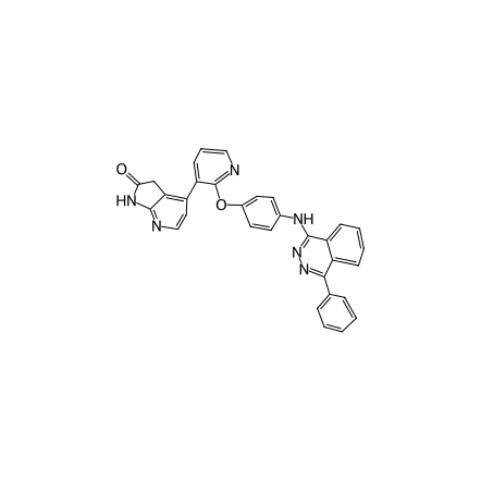 O=C1Cc2c(-c3cccnc3Oc3ccc(Nc4nnc(-c5ccccc5)c5ccccc45)cc3)ccnc2N1